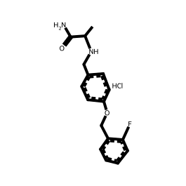 CC(NCc1ccc(OCc2ccccc2F)cc1)C(N)=O.Cl